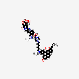 CC#C[C@]1(O)CC[C@@H]2C1C[C@H](c1ccc(N(C)CCCCCCN3CCN(C(=O)Oc4ccc5nc6c(cc5c4CN(C)C)Cn4c-6cc5c(c4=O)COC(=O)[C@]5(O)CC)CC3)cc1)C1=C3CCC(=O)C=C3CC[C@H]12